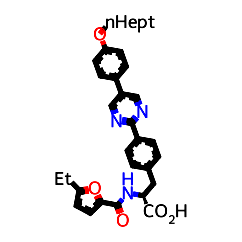 CCCCCCCOc1ccc(-c2cnc(-c3ccc(C[C@H](NC(=O)c4ccc(CC)o4)C(=O)O)cc3)nc2)cc1